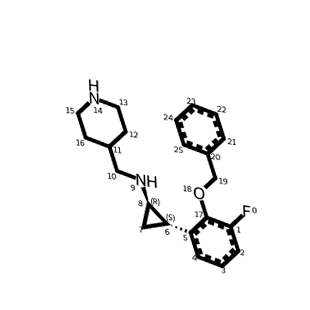 Fc1cccc([C@@H]2C[C@H]2NCC2CCNCC2)c1OCc1ccccc1